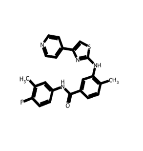 Cc1cc(NC(=O)c2ccc(C)c(Nc3nc(-c4ccncc4)cs3)c2)ccc1F